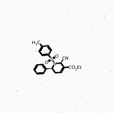 CCOC(=O)C1=CC[C@@H](c2ccccc2)N(S(=O)(=O)c2ccc(C)cc2)[C@H]1C#N